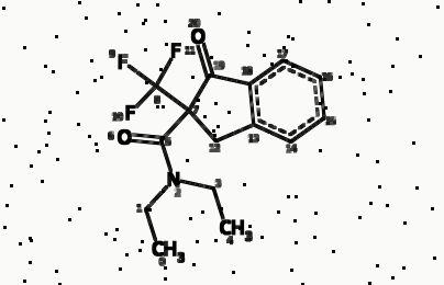 CCN(CC)C(=O)C1(C(F)(F)F)Cc2ccccc2C1=O